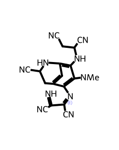 CNc1c(/N=C(/C#N)C(=N)C#N)c2cc(c1NC(C#N)CC#N)NC(C#N)C2